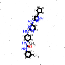 C[C@]1(NC(=O)Nc2cccc(C(F)(F)F)c2)CC[C@H](Nc2nccc(Nc3cc(C4CCCC4)[nH]n3)n2)CC1